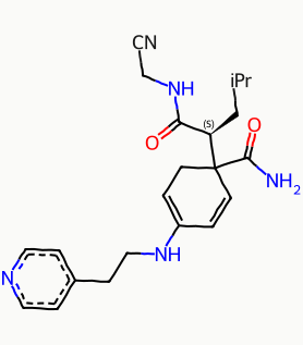 CC(C)C[C@H](C(=O)NCC#N)C1(C(N)=O)C=CC(NCCc2ccncc2)=CC1